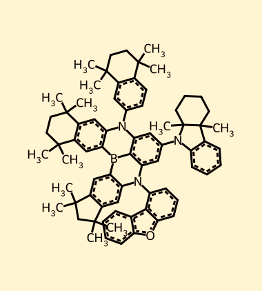 CC1(C)CCC(C)(C)c2cc(N3c4cc5c(cc4B4c6cc7c(cc6N(c6cccc8oc9ccccc9c68)c6cc(N8c9ccccc9C9(C)CCCCC89C)cc3c64)C(C)(C)CC7(C)C)C(C)(C)CCC5(C)C)ccc21